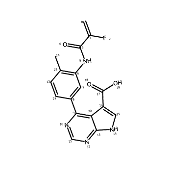 C=C(F)C(=O)Nc1cc(-c2ncnc3[nH]cc(C(=O)O)c23)ccc1C